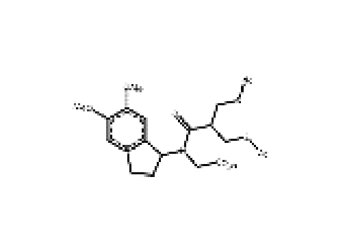 COc1cc2c(cc1OC)C(N(CC(=O)O)C(=O)C(CSC(C)=O)CSC(C)=O)CC2